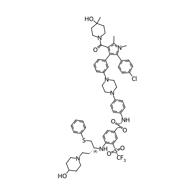 Cc1c(C(=O)N2CCC(C)(O)CC2)c(-c2cccc(N3CCN(c4ccc(NS(=O)(=O)c5ccc(N[C@H](CCN6CCC(O)CC6)CSc6ccccc6)c(S(=O)(=O)C(F)(F)F)c5)cc4)CC3)c2)c(-c2ccc(Cl)cc2)n1C